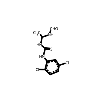 O=CNC(NC(=S)Nc1cc(Cl)ccc1Cl)C(Cl)(Cl)Cl